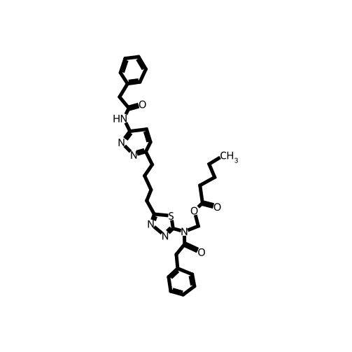 CCCCC(=O)OCN(C(=O)Cc1ccccc1)c1nnc(CCCCc2ccc(NC(=O)Cc3ccccc3)nn2)s1